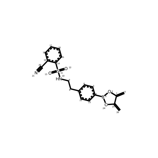 C=C1OB(c2ccc(CCNS(=O)(=O)c3ccccc3C#N)cc2)OC1=C